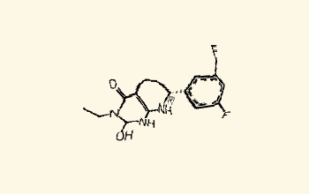 CCN1C(=O)C2=C(NC1O)N[C@@H](c1cc(F)cc(F)c1)CC2